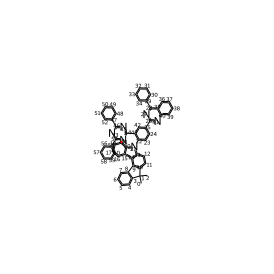 CC1(C)c2ccccc2-c2c1ccc1c2c2ccccc2n1-c1ccc(-c2nc(-c3ccccc3)c3ccccc3n2)cc1-c1nc(-c2ccccc2)nc(-c2ccccc2)n1